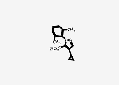 CCOC(=O)c1c(C2CC2)cnn1-c1c(C)cccc1C